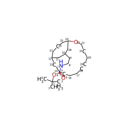 CC(C)(C)OC(=O)NCCC1CC2CCCCCCCCCCOC(CCC2)C1